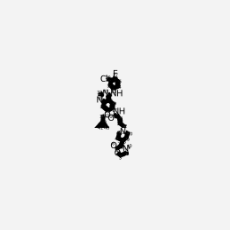 CN1CCOC(=O)C1C1CCN(CC=CC(=O)Nc2cc3c(Nc4ccc(F)c(Cl)c4)ncnc3cc2OCC2CC2)CC1